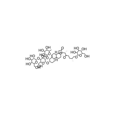 CC1O[C@@H](O[C@H]2C(O)[C@H](O[C@@H]3OC(CO)[C@@H](O)C(O)[C@@H]3O)C(CO)O[C@H]2O[C@H]2CC[C@@]3(C)C(=CC[C@H]4[C@@H]5CC(=O)[C@H]([C@H](C)C(=O)CC[C@@H](C)CO[C@@H]6OC(CO)[C@@H](O)C(O)[C@@H]6O)[C@@]5(C)CC[C@@H]43)C2)[C@@H](O)C(O)[C@H]1O